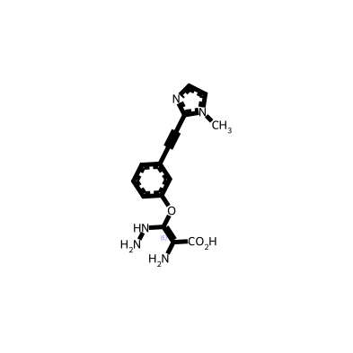 Cn1ccnc1C#Cc1cccc(O/C(NN)=C(/N)C(=O)O)c1